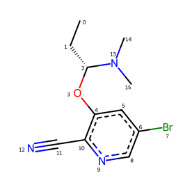 CC[C@@H](Oc1cc(Br)cnc1C#N)N(C)C